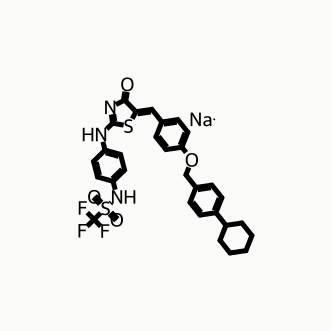 O=C1N=C(Nc2ccc(NS(=O)(=O)C(F)(F)F)cc2)SC1=Cc1ccc(OCc2ccc(C3CCCCC3)cc2)cc1.[Na]